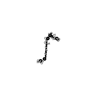 COc1cc(-c2cn(C)c(=O)c3cc(C(N)NC4CCS(=O)(=O)CC4)sc23)ccc1OCC(=O)NCCOCCOCCOCCCc1ccc(SC2CCC(=O)NC2=O)cc1